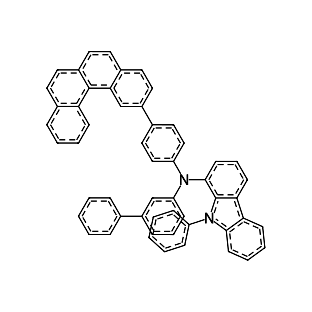 c1ccc(-c2cccc(N(c3ccc(-c4ccc5ccc6ccc7ccccc7c6c5c4)cc3)c3cccc4c5ccccc5n(-c5ccccc5)c34)c2)cc1